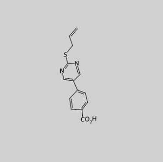 C=CCSc1ncc(-c2ccc(C(=O)O)cc2)cn1